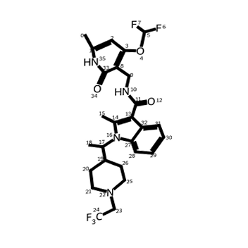 Cc1cc(OC(F)F)c(CNC(=O)c2c(C)n(C(C)C3CCN(CC(F)(F)F)CC3)c3ccccc23)c(=O)[nH]1